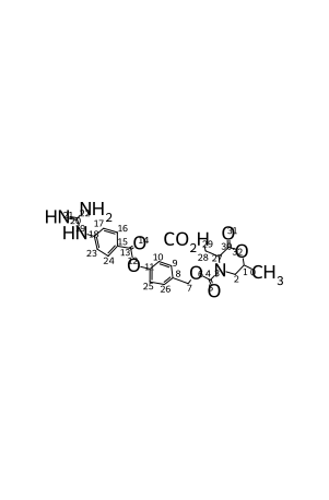 CC1CN(C(=O)OCc2ccc(OC(=O)c3ccc(NC(=N)N)cc3)cc2)C(CC(=O)O)C(=O)O1